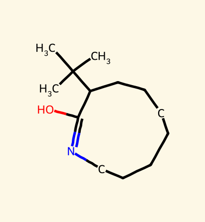 CC(C)(C)C1CCCCCCC/N=C\1O